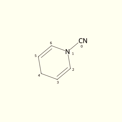 N#CN1C=CCC=C1